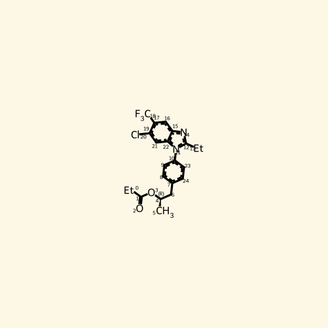 CCC(=O)O[C@H](C)Cc1ccc(-n2c(CC)nc3cc(C(F)(F)F)c(Cl)cc32)cc1